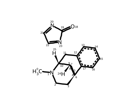 CN1CC[C@]23CCCC[C@H]2[C@H]1Cc1ccccc13.O=C1N=CC=N1